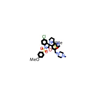 COc1ccc(S(=O)(=O)N2C(=O)C(c3cc(CN4CCN(C)CC4)ccc3OC)(N3CCCC3c3nccs3)c3cc(Cl)ccc32)cc1